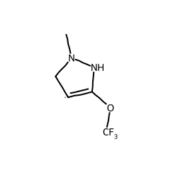 CN1C[C]=C(OC(F)(F)F)N1